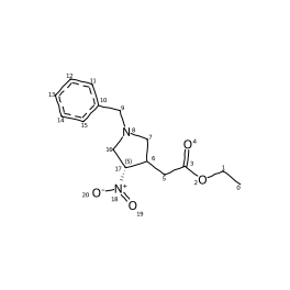 CCOC(=O)CC1CN(Cc2ccccc2)C[C@H]1[N+](=O)[O-]